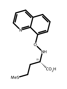 CSCC[C@H](NOc1cccc2cccnc12)C(=O)O